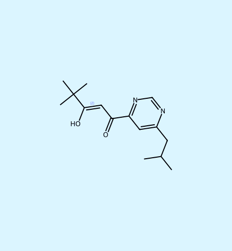 CC(C)Cc1cc(C(=O)/C=C(\O)C(C)(C)C)ncn1